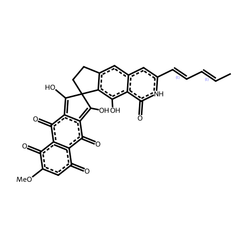 C/C=C/C=C/c1cc2cc3c(c(O)c2c(=O)[nH]1)C1(CC3)C(O)=c2c(=O)c3c(=O)cc(OC)c(=O)c=3c(=O)c2=C1O